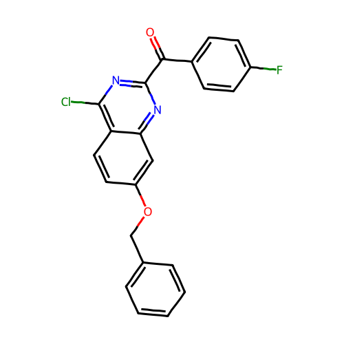 O=C(c1ccc(F)cc1)c1nc(Cl)c2ccc(OCc3ccccc3)cc2n1